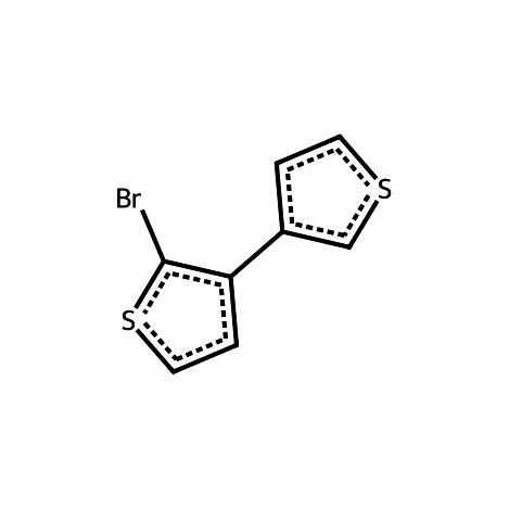 Brc1sccc1-c1ccsc1